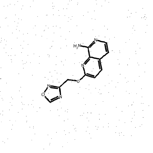 Nc1nccc2ccc(OCc3ncon3)nc12